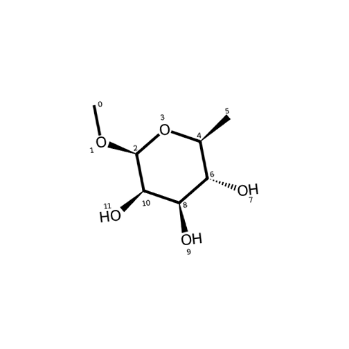 CO[C@H]1O[C@@H](C)[C@H](O)[C@@H](O)[C@H]1O